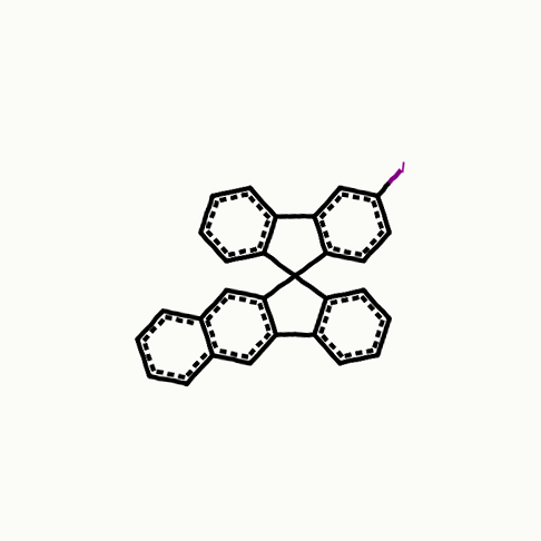 Ic1ccc2c(c1)-c1ccccc1C21c2ccccc2-c2cc3ccccc3cc21